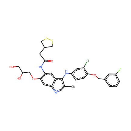 N#Cc1cnc2cc(OCC(O)CO)c(NC(=O)CC3CSSC3)cc2c1Nc1ccc(OCc2cccc(F)c2)c(Cl)c1